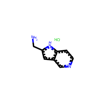 Cl.NCc1cc2cnccc2[nH]1